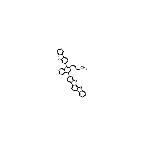 C/C=C\C=C/c1cc(-c2ccc3c(c2)sc2c3ccc3c4ccccc4sc32)c2ccccc2c1-c1ccc2c(c1)sc1ccccc12